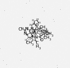 CCc1c(C[C@H](C)NC(=O)OC(C)(C)C)sc2c(N(Cc3ccco3)C(=O)OC(C)(C)C)nc(Cl)nc12